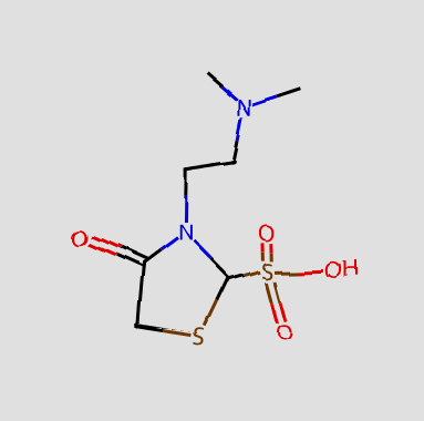 CN(C)CCN1C(=O)CSC1S(=O)(=O)O